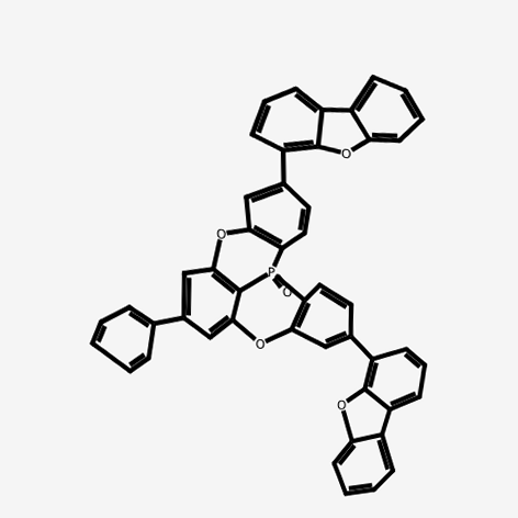 O=P12c3ccc(-c4cccc5c4oc4ccccc45)cc3Oc3cc(-c4ccccc4)cc(c31)Oc1cc(-c3cccc4c3oc3ccccc34)ccc12